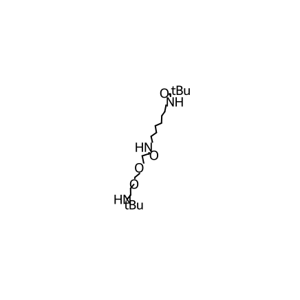 CC(C)(C)NCCOCCOCCC(=O)NCCCCCCCCNC(=O)C(C)(C)C